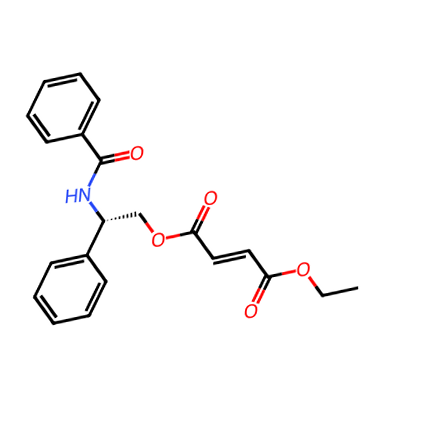 CCOC(=O)/C=C/C(=O)OC[C@@H](NC(=O)c1ccccc1)c1ccccc1